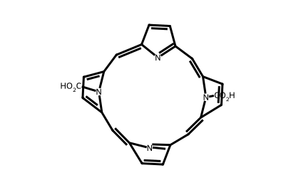 O=C(O)n1c2ccc1cc1nc(cc3ccc(cc4nc(c2)C=C4)n3C(=O)O)C=C1